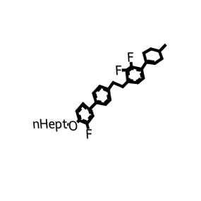 CCCCCCCOc1ccc(-c2ccc(CCc3ccc(C4=CCC(C)CC4)c(F)c3F)cc2)cc1F